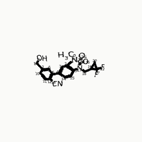 CN1c2cc(-c3cc(CO)ccc3C#N)ccc2N(CC2CC2(F)F)S1(=O)=O